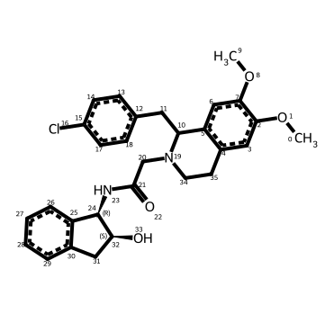 COc1cc2c(cc1OC)C(Cc1ccc(Cl)cc1)N(CC(=O)N[C@@H]1c3ccccc3C[C@@H]1O)CC2